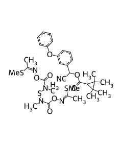 CC1(C)C(C(=O)OC(C#N)c2cccc(Oc3ccccc3)c2)C1(C)C.CS/C(C)=N\OC(=O)N(C)SN(C)C(=O)O/N=C(/C)SC